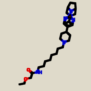 CCOCC(=O)NCCCCCCCCN1CCC(c2cnc(N3C4CCC3CN(C(C)C)C4)nc2)CC1